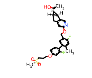 C=C(O)[C@H]1[C@@H]2Cc3cc(OCc4cc(-c5ccc(OCCCS(C)(=O)=O)cc5F)c(C)cc4F)ncc3[C@@H]21